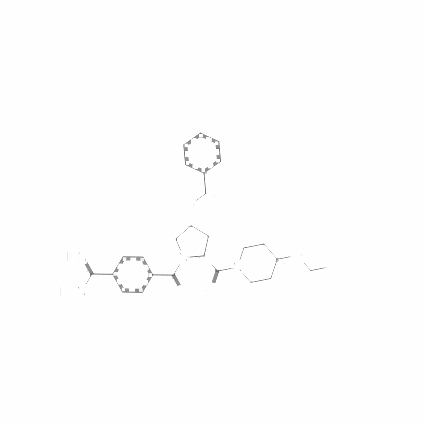 I.N=C(N)c1ccc(C(=O)N2C[C@H](OCc3ccccc3)C[C@H]2C(=O)N2CCC(OCC(=O)O)CC2)cc1